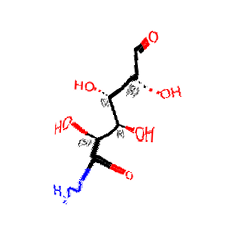 NC(=O)[C@@H](O)[C@H](O)[C@H](O)[C@@H](O)C=O